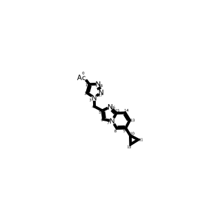 CC(=O)c1cn(Cc2cn3cc(C4CC4)ccc3n2)nn1